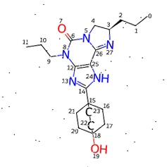 CCC[C@@H]1CN2C(=O)N(CCC)c3nc(C45CCC(O)(CC4)CC5)[nH]c3C2=N1